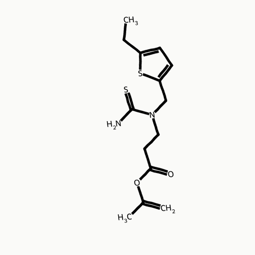 C=C(C)OC(=O)CCN(Cc1ccc(CC)s1)C(N)=S